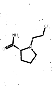 NC(=O)[C@@H]1[CH]CCN1CCC(F)(F)F